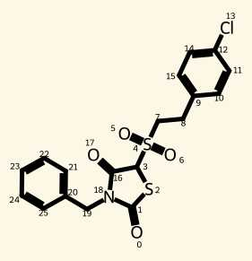 O=C1SC(S(=O)(=O)CCc2ccc(Cl)cc2)C(=O)N1Cc1ccccc1